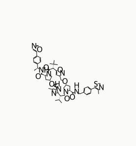 Cc1nc([C@H](C(=O)N2C[C@H](OCc3cc([C@H](C(=O)N4C[C@H](O)C[C@H]4C(=O)N[C@@H](C)c4ccc(-c5cnco5)cc4)C(C)(C)C)on3)C[C@H]2C(=O)NCc2ccc(-c3scnc3C)cc2)C(C)C)ns1